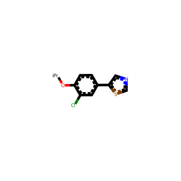 CC(C)Oc1ccc(-c2cncs2)cc1Cl